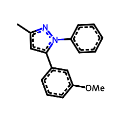 COc1cccc(-c2cc(C)nn2-c2ccccc2)c1